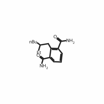 CCCCC(CC)Cc1c(C(N)=O)cccc1C(N)=O